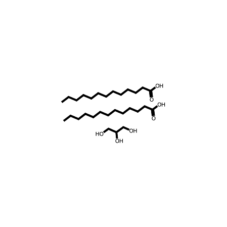 CCCCCCCCCCCCC(=O)O.CCCCCCCCCCCCC(=O)O.OCC(O)CO